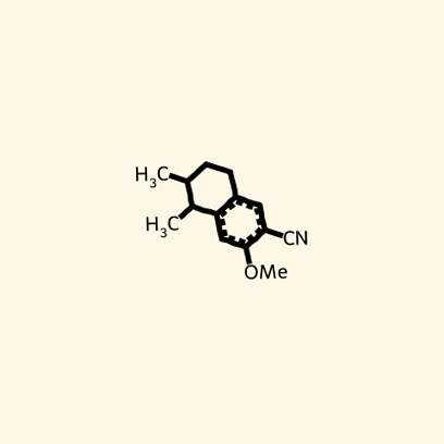 COc1cc2c(cc1C#N)CCC(C)C2C